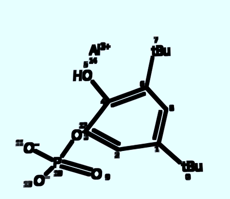 CC(C)(C)c1ccc(O)c(C(C)(C)C)c1.O=P([O-])([O-])[O-].[Al+3]